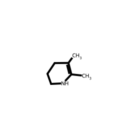 CC1=C(C)NCCC1